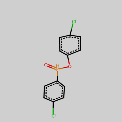 O=[PH](Oc1ccc(Cl)cc1)c1ccc(Cl)cc1